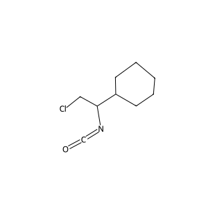 O=C=NC(CCl)C1CCCCC1